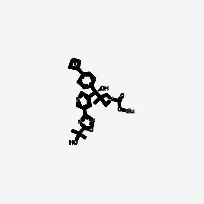 CC(C)(C)OC(=O)N1CC(C)([C@](O)(c2ccc(C34CC(C3)C4)cc2)c2cncc(-c3noc(C(C)(C)O)n3)c2)C1